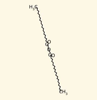 CCCCCCCCCCCCCCCCCCCCCC(=O)OCCOCCOC(=O)CCCCCCCCCCCCCCCCCCCCC